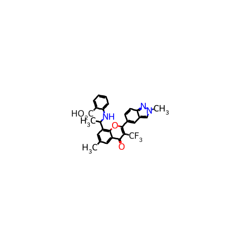 Cc1cc(C(C)Nc2ccccc2C(=O)O)c2oc(-c3ccc4nn(C)cc4c3)c(C(F)(F)F)c(=O)c2c1